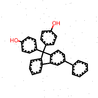 Oc1ccc(C2(c3ccc(O)cc3)c3ccccc3-c3cc(-c4ccccc4)ccc32)cc1